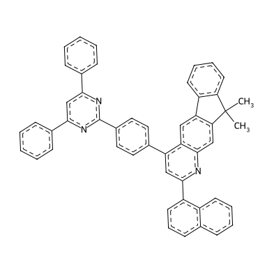 CC1(C)c2ccccc2-c2cc3c(-c4ccc(-c5nc(-c6ccccc6)cc(-c6ccccc6)n5)cc4)cc(-c4cccc5ccccc45)nc3cc21